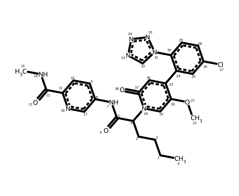 CCCCC(C(=O)Nc1ccc(C(=O)NC)nc1)n1cc(OC)c(-c2cc(Cl)ccc2-n2cnnn2)cc1=O